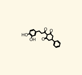 O=C(CCc1ccc(O)c(O)c1)C1C(=O)CC(c2ccccc2)CC1=O